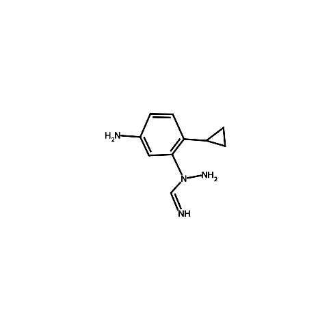 N=CN(N)c1cc(N)ccc1C1CC1